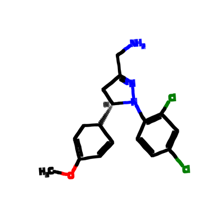 COC1=CCC([C@@H]2CC(CN)=NN2c2ccc(Cl)cc2Cl)C=C1